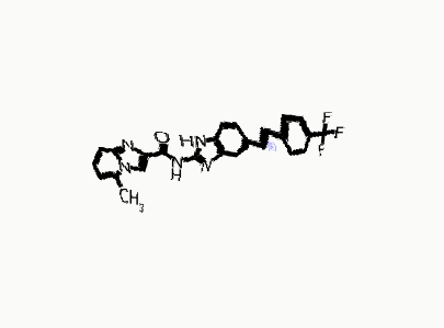 Cc1cccc2nc(C(=O)Nc3nc4cc(/C=C/c5ccc(C(F)(F)F)cc5)ccc4[nH]3)cn12